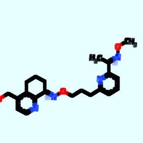 CO/N=C(\C)c1cccc(CCCO/N=C2\CCCc3c(CO)ccnc32)n1